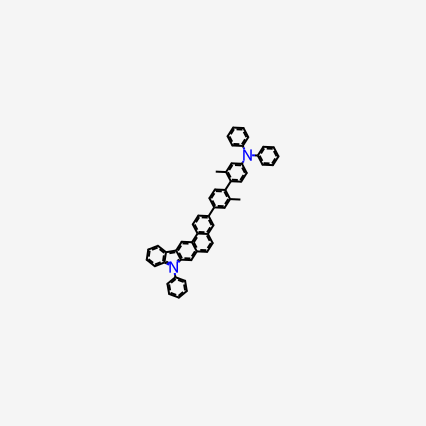 Cc1cc(-c2ccc3c(ccc4cc5c(cc43)c3ccccc3n5-c3ccccc3)c2)ccc1-c1ccc(N(c2ccccc2)c2ccccc2)cc1C